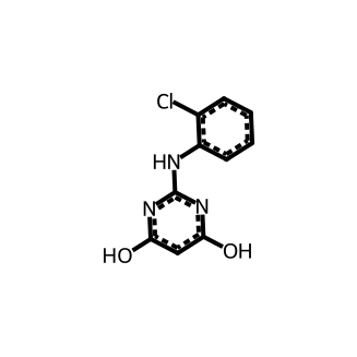 Oc1cc(O)nc(Nc2ccccc2Cl)n1